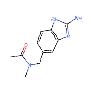 CC(=O)N(C)Cc1ccc2[nH]c(N)nc2c1